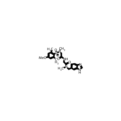 COc1cc(C)c(S(=O)(=O)N(C)CC(=O)NCC(=O)N(C)Cc2ccc3nc[nH]c3c2)c(C)c1